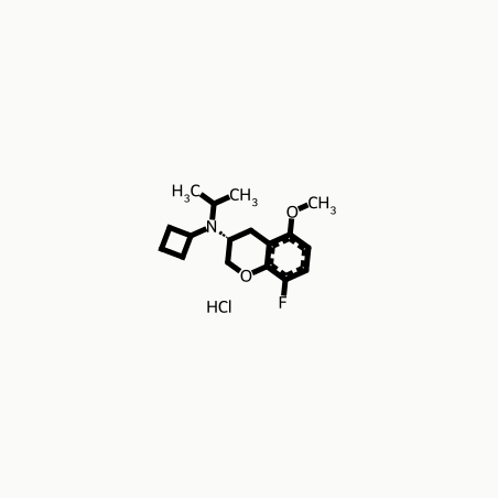 COc1ccc(F)c2c1C[C@@H](N(C(C)C)C1CCC1)CO2.Cl